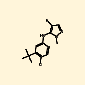 Cn1ncc(F)c1Nc1cc(C(C)(C)C)c(Cl)cn1